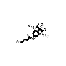 CC(=O)CCCC(=O)Nc1ccc(C(C)(C(=O)OC(C)(C)C)C(=O)OC(C)(C)C)cc1